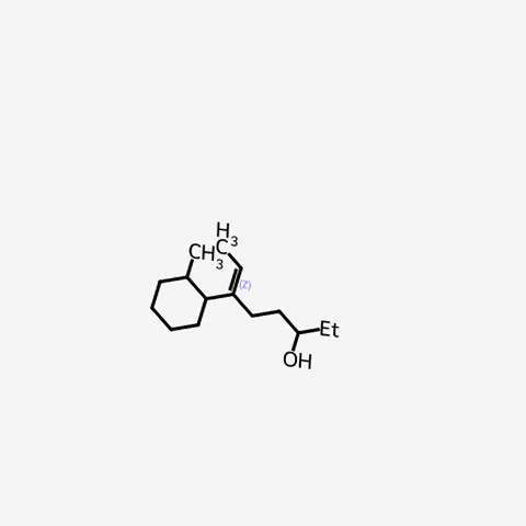 C/C=C(/CCC(O)CC)C1CCCCC1C